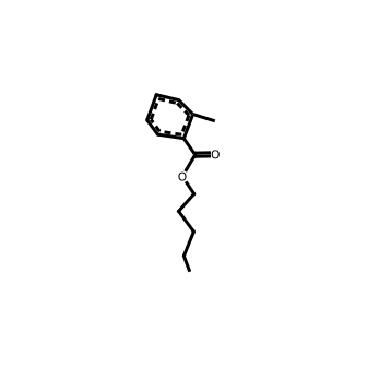 CCCCCOC(=O)c1ccccc1C